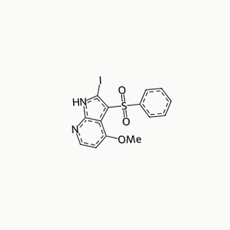 COc1ccnc2[nH]c(I)c(S(=O)(=O)c3ccccc3)c12